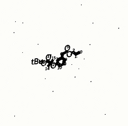 C=CCOC(=O)Cc1cccc(OC(C)(C)C(=O)OC(C)(C)C)c1